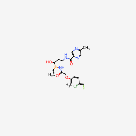 C=CP(NC(=O)COC(=C)/C=C\C(Cl)=C\F)C(O)CCNC(=O)c1cnc(C)cn1